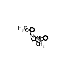 C=C1C2=C(CN(Cc3ccccc3OC)CC2)NN1Cc1ccccc1